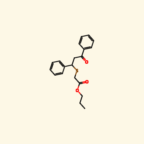 CCCOC(=O)CSC(CC(=O)c1ccccc1)c1ccccc1